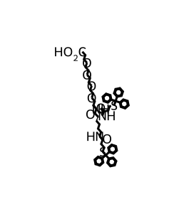 O=C(O)CCOCCOCCOCCOCCNC(=O)[C@H](CCCCNC(=O)CCSC(c1ccccc1)(c1ccccc1)c1ccccc1)NC(=O)CCSC(c1ccccc1)(c1ccccc1)c1ccccc1